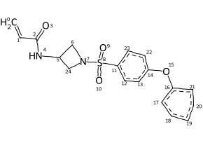 C=CC(=O)NC1CN(S(=O)(=O)c2ccc(Oc3ccccc3)cc2)C1